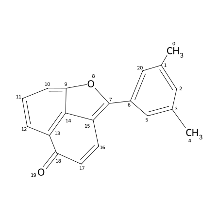 Cc1cc(C)cc(-c2oc3cccc4c3c2C=CC4=O)c1